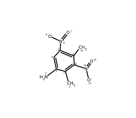 Cc1c(N)cc([N+](=O)[O-])c(C)c1[N+](=O)[O-]